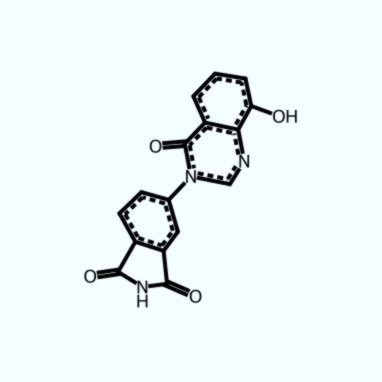 O=C1NC(=O)c2cc(-n3cnc4c(O)cccc4c3=O)ccc21